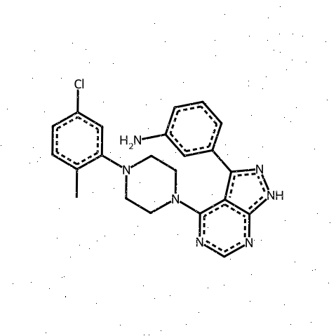 Cc1ccc(Cl)cc1N1CCN(c2ncnc3[nH]nc(-c4cccc(N)c4)c23)CC1